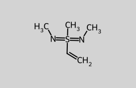 C=CS(C)(=NC)=NC